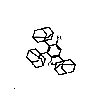 CCc1cc(C23CC4CC(CC(C4)C2)C3)c(O)c(C23CC4CC(CC(C4)C2)C3)c1C12CC3CC(CC(C3)C1)C2